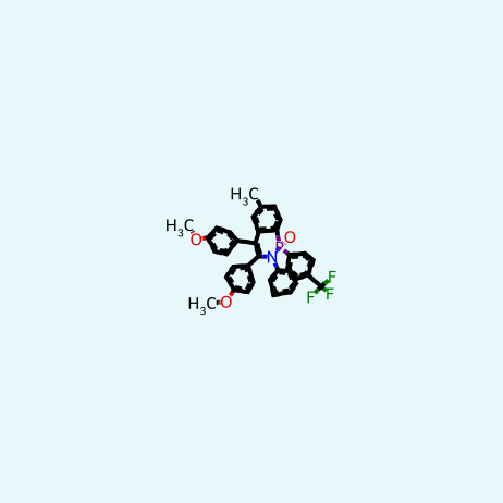 COc1ccc(C2=C(c3ccc(OC)cc3)N(c3ccccc3)P(=O)(c3ccc(C(F)(F)F)cc3)c3ccc(C)cc32)cc1